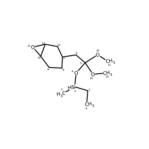 CC[SiH](C)OC(CC1CCC2OC2C1)(OC)OC